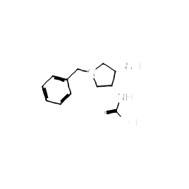 N[C@H]1CN(Cc2ccccc2)C[C@H]1NC(=O)O